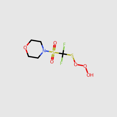 O=S(=O)(N1CCOCC1)C(F)(F)SOOO